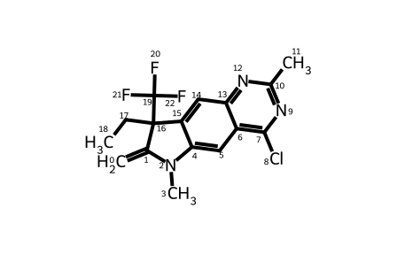 C=C1N(C)c2cc3c(Cl)nc(C)nc3cc2C1(CC)C(F)(F)F